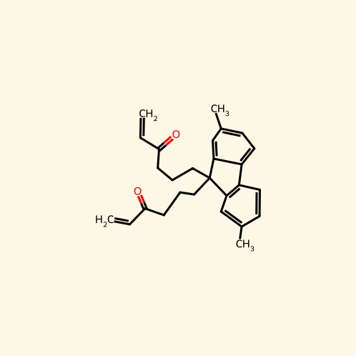 C=CC(=O)CCCC1(CCCC(=O)C=C)c2cc(C)ccc2-c2ccc(C)cc21